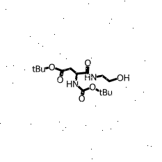 CC(C)(C)OC(=O)CC(NC(=O)OC(C)(C)C)C(=O)NCCO